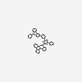 c1ccc(-c2nc(-c3cccc(-c4ccc5c(c4)c4ccccc4n5-c4ccccc4)c3)nc(-c3cc4c5ccccc5c5ccccc5c4c4ccccc34)n2)cc1